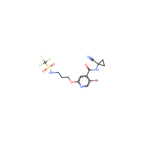 N#CC1(NC(=O)c2cc(OCCCNS(=O)(=O)C(F)(F)F)ncc2Br)CC1